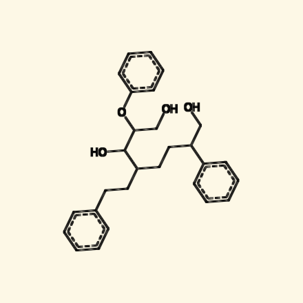 OCC(CCC(CCc1ccccc1)C(O)C(CO)Oc1ccccc1)c1ccccc1